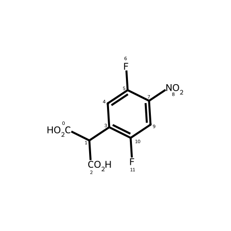 O=C(O)C(C(=O)O)c1cc(F)c([N+](=O)[O-])cc1F